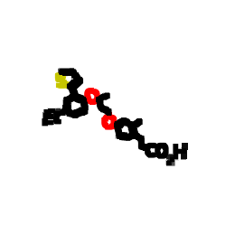 CCc1ccc(O[C@@H](C)CCOc2ccc(CCC(=O)O)c(C)c2)c(-c2cccs2)c1